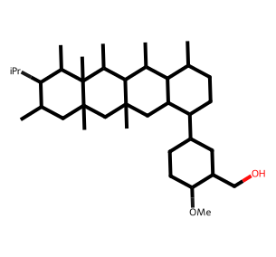 COC1CCC(C2CCC(C)C3C(C)C4C(C)C5(C)C(C)C(C(C)C)C(C)CC5(C)CC4(C)CC23)CC1CO